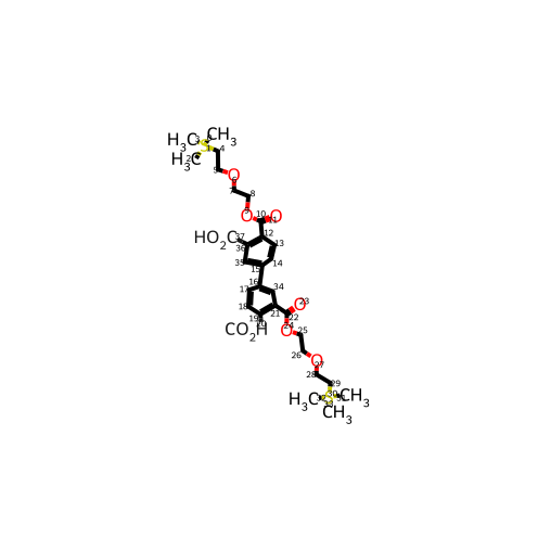 CS(C)(C)CCOCCOC(=O)c1ccc(-c2ccc(C(=O)O)c(C(=O)OCCOCCS(C)(C)C)c2)cc1C(=O)O